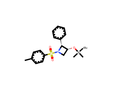 Cc1ccc(S(=O)(=O)N2C[C@@H](O[Si](C)(C)C(C)(C)C)[C@H]2c2ccccc2)cc1